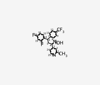 Cc1cc(C(CC(c2ccc(C(F)(F)F)cc2)c2ccc(F)cc2F)=NO)ccn1